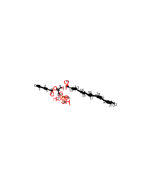 C#CC#CC(=O)O[C@@H](COC(=O)C#CC#CC#CC#CC#CC)COP(=O)(O)O